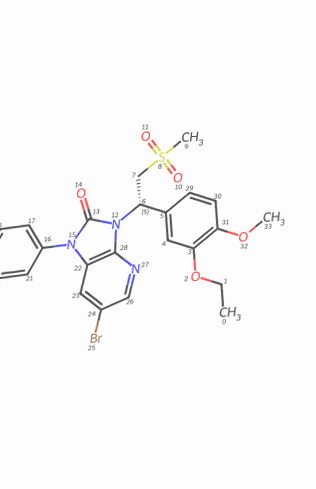 CCOc1cc([C@@H](CS(C)(=O)=O)n2c(=O)n(-c3ccccc3)c3cc(Br)cnc32)ccc1OC